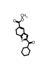 COC(=O)C1=Cc2cc(C(=O)C3CCCCC3)sc2CC1